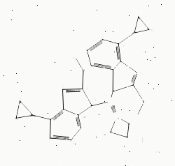 CCC1=Cc2c(C3CC3)cccc2[CH]1[Hf+2]([CH]1C(CC)=Cc2c(C3CC3)cccc21)=[Si]1CCC1.[Cl-].[Cl-]